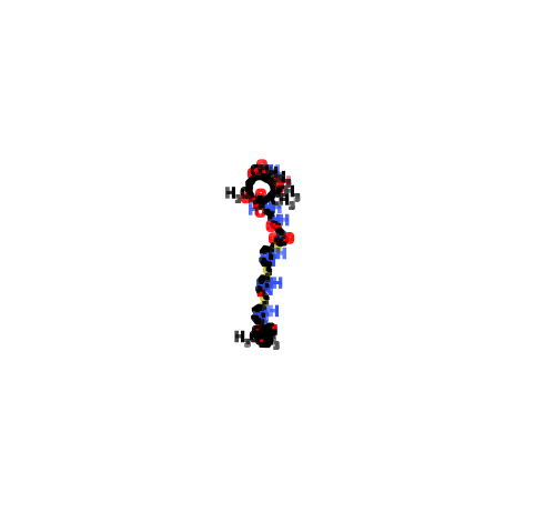 CO[C@H]1/C=C\C=C(/C)C(=O)NC2=CC(=O)C(NCCCNC(=O)CCCN3C(=O)CC(SC[C@H]4CCN5CC[C@H](CSC[C@H]6CCN7CC[C@H](CSC[C@H]8CCN9CC[C@H](CO[Si](c%10ccccc%10)(c%10ccccc%10)C(C)(C)C)N=C9N8)N=C7N6)N=C5N4)C3=O)=C(C[C@@H](C)C[C@H](OC)[C@H](O)[C@@H](C)/C=C(\C)[C@@H]1OC(N)=O)C2=O